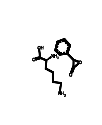 NCCCC[C@H](N)C(=O)O.O=C1OC1c1ccccc1